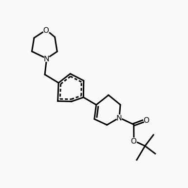 CC(C)(C)OC(=O)N1CC=C(c2ccc(CN3CCOCC3)cc2)CC1